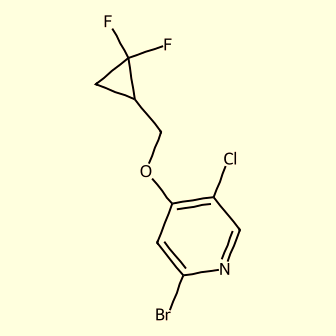 FC1(F)CC1COc1cc(Br)ncc1Cl